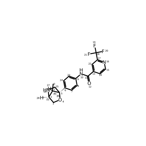 C[C@@H]1[C@H]2CO[C@]1(c1ccc(NC(=O)c3ccnc(C(F)(F)F)c3)cc1)CN2